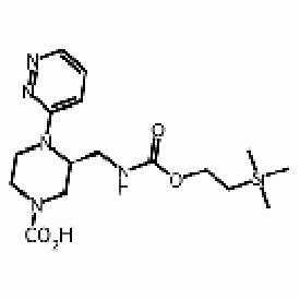 C[Si](C)(C)CCOC(=O)NC[C@H]1CN(C(=O)O)CCN1c1cccnn1